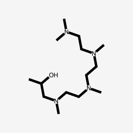 CC(O)CN(C)CCN(C)CCN(C)CCN(C)C